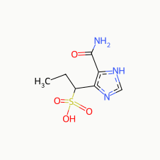 CCC(c1nc[nH]c1C(N)=O)S(=O)(=O)O